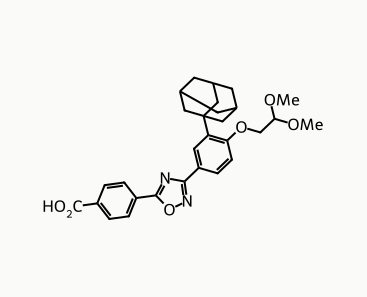 COC(COc1ccc(-c2noc(-c3ccc(C(=O)O)cc3)n2)cc1C12CC3CC(CC(C3)C1)C2)OC